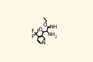 CCOC(=N)C(N)C(=O)c1cnccc1C(F)(F)F